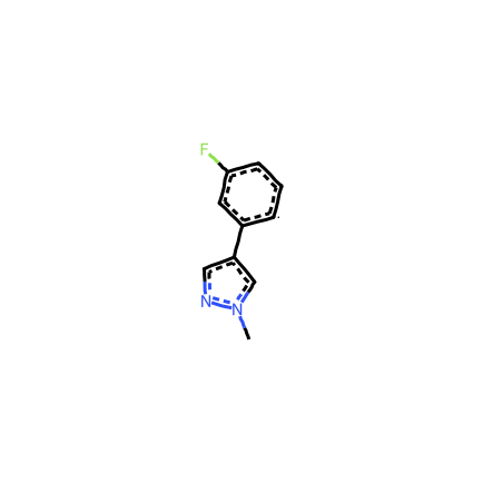 Cn1cc(-c2[c]ccc(F)c2)cn1